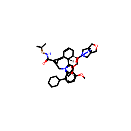 CCOCCN1CC23COCC2(C1)CN(C(=O)[C@@H]1CC=CC2=C4C(=C4C(=O)NSC(C)C)Cn4c(cc5c(OC)ccc(C6CCCCC6)c54)[C@H]21)C3